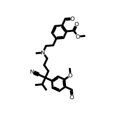 COC(=O)c1cc(CCN(C)CCCC(C#N)(c2ccc(C=O)c(OC)c2)C(C)C)ccc1C=O